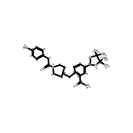 CC1(C)OB(c2ccc(CC3CCN(C(=O)Cc4ccc(O)cc4)CC3)c(C(N)=O)c2)OC1(C)C